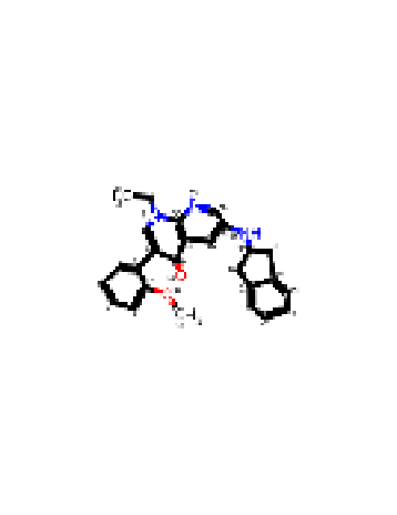 CCn1cc(-c2ccccc2OC)c(=O)c2cc(NC3Cc4ccccc4C3)cnc21